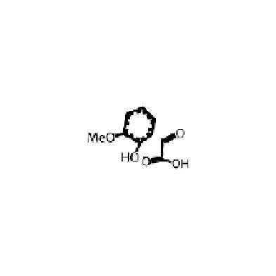 COc1ccccc1O.O=CC(=O)O